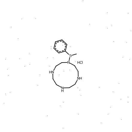 Cl.[CH3][Ti]([c]1ccccc1)[N]1CCNCCNCCNCC1